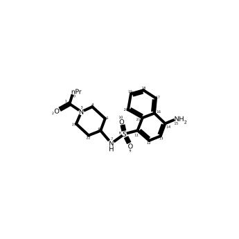 CCCC(=O)N1CCC(NS(=O)(=O)c2ccc(N)c3ccccc23)CC1